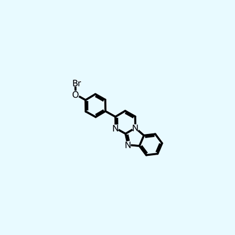 BrOc1ccc(-c2ccn3c(n2)nc2ccccc23)cc1